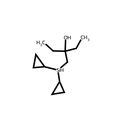 CCC(O)(CC)C[SiH](C1CC1)C1CC1